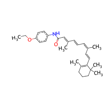 CCOc1ccc(NC(=O)/C=C(C)/C=C/C=C(C)\C=C\C2=C(C)CCCC2(C)C)cc1